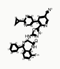 N#Cc1cnc(-c2nnc(N[C@H]3N=C(c4ccccc4)c4cccc(F)c4NC3=O)o2)c(-c2cnc(C3CC3)nc2)c1